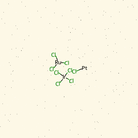 [Cl][Ir]([Cl])([Cl])[Cl].[Cl][Pt].[Cl][Ru]([Cl])[Cl]